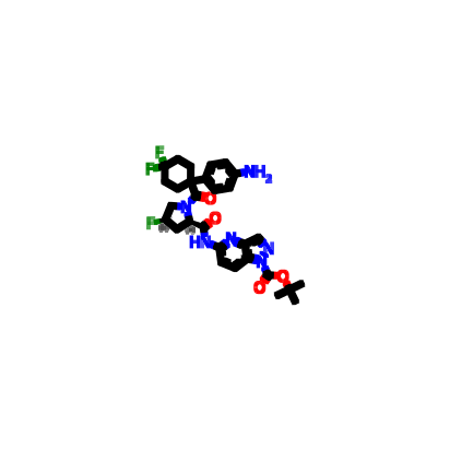 CC(C)(C)OC(=O)n1ncc2nc(NC(=O)[C@H]3C[C@@H](F)CN3C(=O)C3(c4ccc(N)cc4)CCC(F)(F)CC3)ccc21